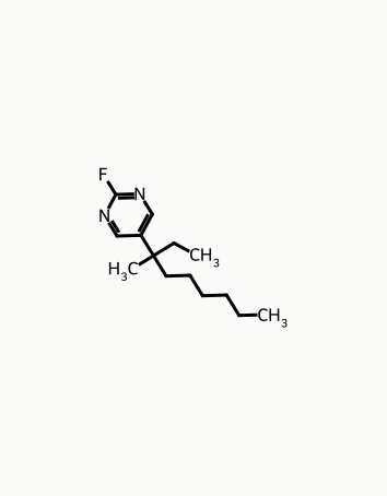 CCCCCCC(C)(CC)c1cnc(F)nc1